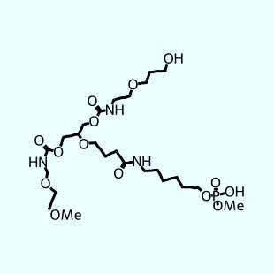 COCCOCNC(=O)OCC(COC(=O)NCCOCCCO)OCCCC(=O)NCCCCCCOP(=O)(O)OC